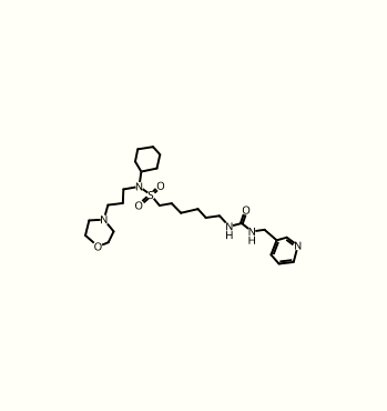 O=C(NCCCCCCS(=O)(=O)N(CCCN1CCOCC1)C1CCCCC1)NCc1cccnc1